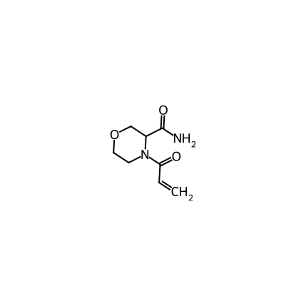 C=CC(=O)N1CCOCC1C(N)=O